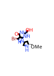 COC[C@H]1C[C@H](n2nc(Br)c(C(N)=O)c2NCCO)CN1